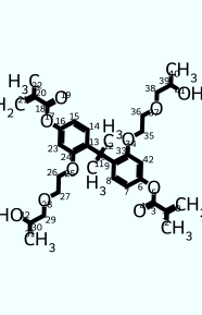 C=C(C)C(=O)Oc1ccc(C(C)(C)c2ccc(OC(=O)C(=C)C)cc2OCCOCC(C)O)c(OCCOCC(C)O)c1